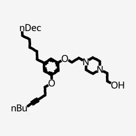 CCCCC#CCCOc1cc(CCCCCCCCCCCCCCC)cc(OCCN2CCN(CCO)CC2)c1